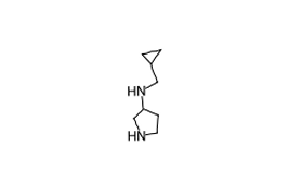 C1CC(NCC2CC2)CN1